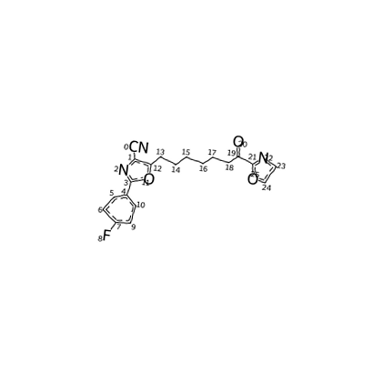 N#Cc1nc(-c2ccc(F)cc2)oc1CCCCCCC(=O)c1ncco1